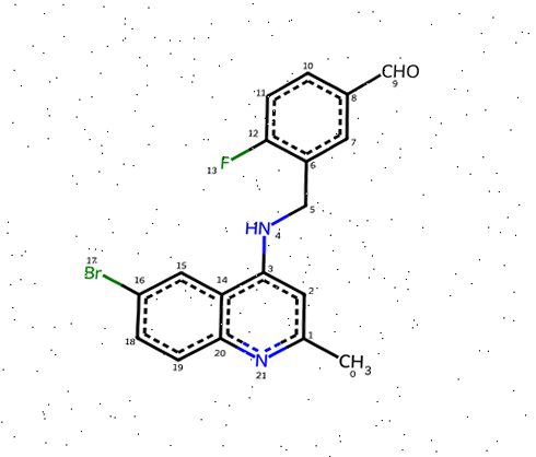 Cc1cc(NCc2cc(C=O)ccc2F)c2cc(Br)ccc2n1